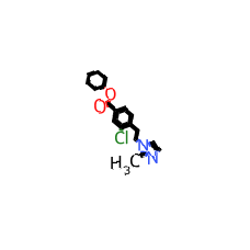 Cc1nccn1CCc1ccc(C(=O)OC2CCCCC2)cc1Cl